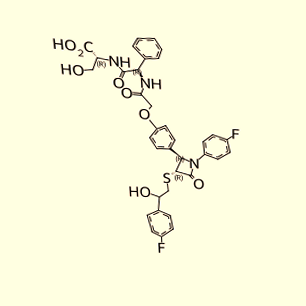 O=C(COc1ccc([C@@H]2[C@@H](SCC(O)c3ccc(F)cc3)C(=O)N2c2ccc(F)cc2)cc1)N[C@@H](C(=O)N[C@H](CO)C(=O)O)c1ccccc1